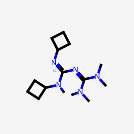 CN(C)C(=N/C(=N\C1CCC1)N(C)C1CCC1)N(C)C